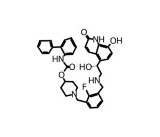 O=C(Nc1ccccc1-c1ccccc1)OC1CCN(Cc2cccc(CNC[C@H](O)c3ccc(O)c4[nH]c(=O)ccc34)c2F)CC1